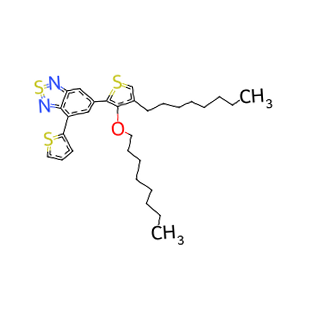 CCCCCCCCOc1c(CCCCCCCC)csc1-c1cc(-c2cccs2)c2nsnc2c1